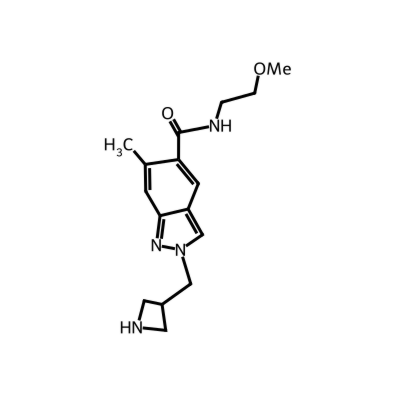 COCCNC(=O)c1cc2cn(CC3CNC3)nc2cc1C